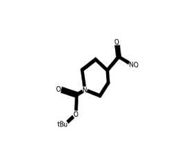 CC(C)(C)OC(=O)N1CCC(C(=O)N=O)CC1